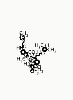 Cc1cc(OCCCc2c3n(c4c(-c5c(C)nn(C)c5C)c(Cl)ccc24)[C@H](C)CN(c2c(C(=O)O)c4cc(NC(=O)CCN5CCN(C)CC5)ccc4n2C)C3=O)cc(C)c1Cl